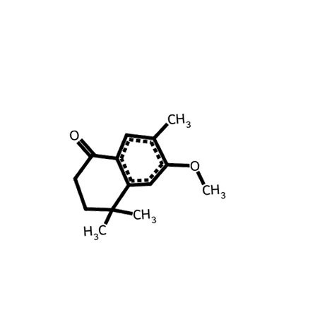 COc1cc2c(cc1C)C(=O)CCC2(C)C